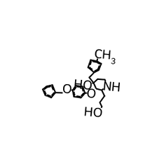 Cc1ccc(CC2(O)CCNC(CCCO)C2Oc2ccc(OCc3ccccc3)cc2)cc1